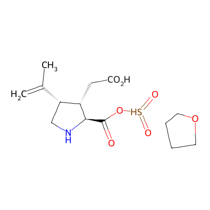 C1CCOC1.C=C(C)[C@H]1CN[C@H](C(=O)O[SH](=O)=O)[C@H]1CC(=O)O